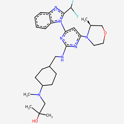 C[C@H]1COCCN1c1cc(-n2c(C(F)F)nc3ccccc32)nc(NCC2CCC(N(C)CC(C)(C)O)CC2)n1